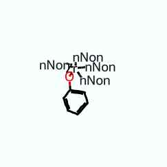 CCCCCCCC[CH2][Zr]([CH2]CCCCCCCC)([CH2]CCCCCCCC)([CH2]CCCCCCCC)[O]c1ccccc1